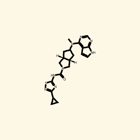 CN(c1ncnc2[nH]ccc12)C1C[C@@H]2CN(C(=O)Nc3nc(C4CC4)ns3)C[C@@H]2C1